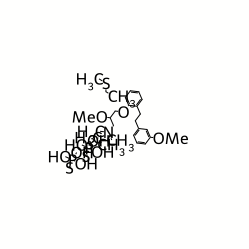 CC.CCSC.COc1cccc(CCc2ccccc2OCC(CN(C)C)OC)c1.OP(O)(O)=S.OP(O)(O)=S